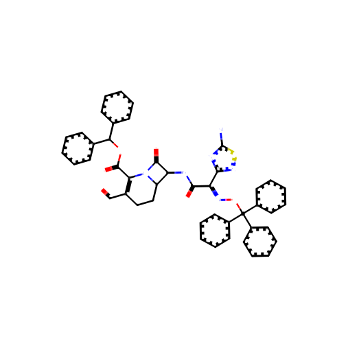 Nc1nc(/C(=N\OC(c2ccccc2)(c2ccccc2)c2ccccc2)C(=O)NC2C(=O)N3C(C(=O)OC(c4ccccc4)c4ccccc4)=C(C=O)CCC23)ns1